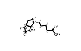 O=C(O)CCCC[C@H]1SCc2[nH]c(=O)[nH]c21